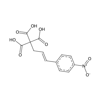 O=C(O)C(CC=Cc1ccc([N+](=O)[O-])cc1)(C(=O)O)C(=O)O